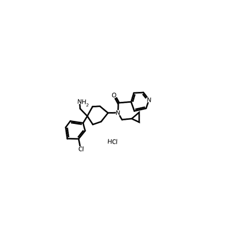 Cl.NCC1(c2cccc(Cl)c2)CCC(N(CC2CC2)C(=O)c2ccncc2)CC1